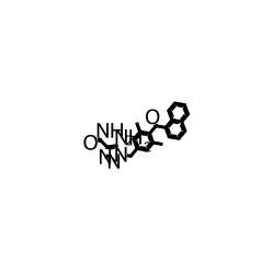 Cc1cc(Cn2nnc(C(N)=O)c2N)cc(C)c1C(=O)c1cccc2ccccc12